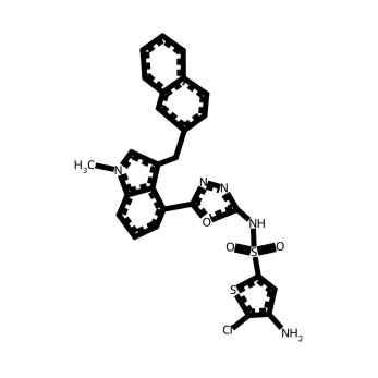 Cn1cc(Cc2ccc3ccccc3c2)c2c(-c3nnc(NS(=O)(=O)c4cc(N)c(Cl)s4)o3)cccc21